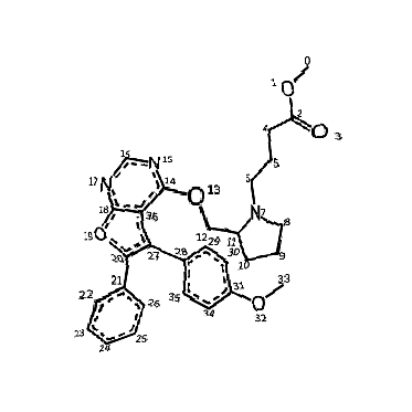 COC(=O)CCCN1CCCC1COc1ncnc2oc(-c3ccccc3)c(-c3ccc(OC)cc3)c12